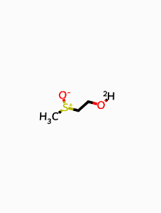 [2H]OCC[S+](C)[O-]